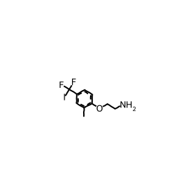 Cc1cc(C(F)(F)I)ccc1OCCN